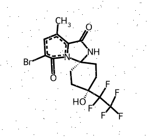 Cc1cc(Br)c(=O)n2c1C(=O)N[C@]21CC[C@](O)(C(F)(F)C(F)(F)F)CC1